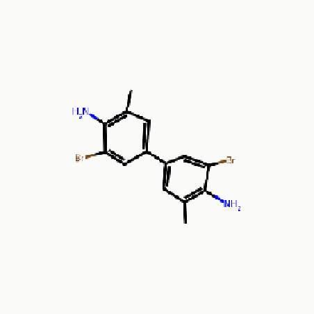 Cc1cc(-c2cc(C)c(N)c(Br)c2)cc(Br)c1N